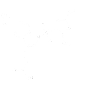 COc1ccc2c(c1)c(CCC(=O)O)cn2S(=O)(=O)c1cc(C)sc1C